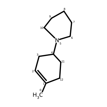 CC1=CCC(N2CCCCC2)CC1